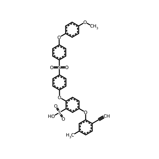 C#Cc1ccc(C)cc1Oc1ccc(Oc2ccc(S(=O)(=O)c3ccc(Oc4ccc(OC)cc4)cc3)cc2)c(S(=O)(=O)O)c1